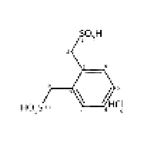 Cl.O=S(=O)(O)Cc1ccccc1CS(=O)(=O)O